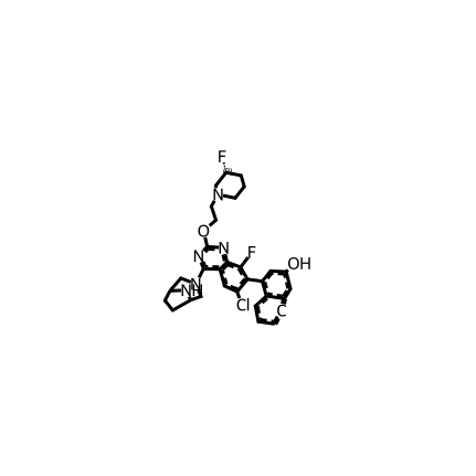 Oc1cc(-c2c(Cl)cc3c(N4CC5CCC(C4)N5)nc(OCCN4CCC[C@@H](F)C4)nc3c2F)c2ccccc2c1